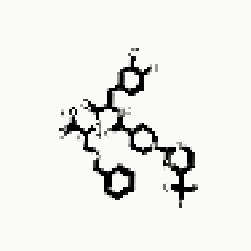 O=C(N[C@@H](CSCc1ccccc1)C(=O)O)C(=Cc1ccc(Cl)c(Cl)c1)NC(=O)C1CCN(c2nccc(C(F)(F)F)n2)CC1